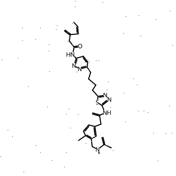 C=C(/C=C\C)CC(=O)Nc1ccc(CCCCc2nnc(NC(=C)Cc3ccc(C)c(CN(C)C(=C)C)c3)s2)nn1